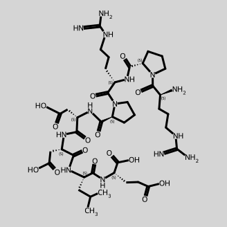 CC(C)C[C@H](NC(=O)[C@H](CC(=O)O)NC(=O)[C@H](CC(=O)O)NC(=O)[C@@H]1CCCN1C(=O)[C@H](CCCNC(=N)N)NC(=O)[C@@H]1CCCN1C(=O)[C@@H](N)CCCNC(=N)N)C(=O)N[C@@H](CCC(=O)O)C(=O)O